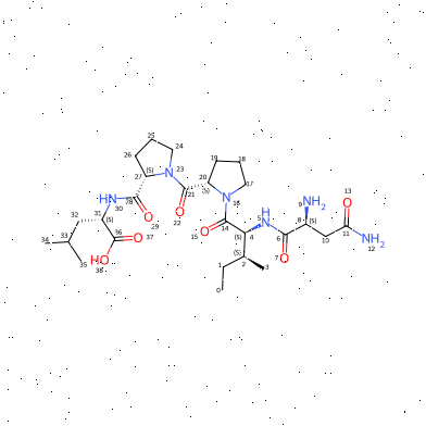 CC[C@H](C)[C@H](NC(=O)[C@@H](N)CC(N)=O)C(=O)N1CCC[C@H]1C(=O)N1CCC[C@H]1C(=O)N[C@@H](CC(C)C)C(=O)O